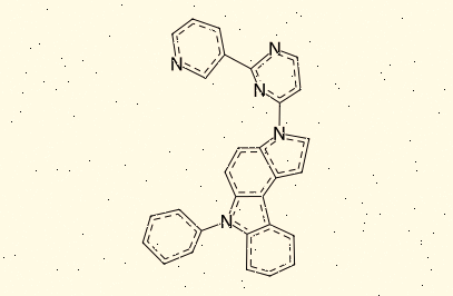 c1ccc(-n2c3ccccc3c3c4ccn(-c5ccnc(-c6cccnc6)n5)c4ccc32)cc1